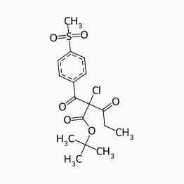 CCC(=O)C(Cl)(C(=O)OC(C)(C)C)C(=O)c1ccc(S(C)(=O)=O)cc1